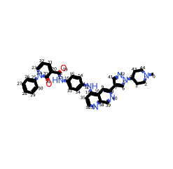 CN1CCC(n2cc(-c3cc4c(Nc5ccc(NC(=O)c6cccn(-c7ccccc7)c6=O)cc5)ccnc4cn3)cn2)CC1